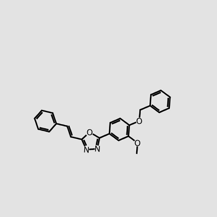 COc1cc(-c2nnc(C=Cc3ccccc3)o2)ccc1OCc1ccccc1